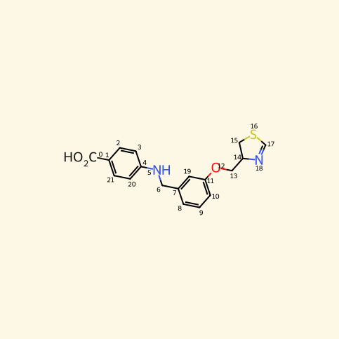 O=C(O)c1ccc(NCc2cccc(OCC3CSC=N3)c2)cc1